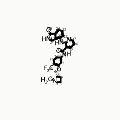 CN1CCC[C@H]1COc1cc(NC(=O)c2cccnc2Nc2cccc3c2CNC3=O)ccc1C(F)(F)F